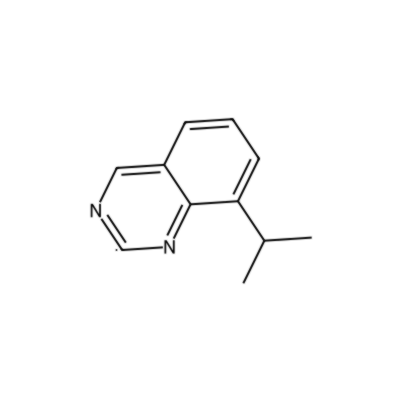 CC(C)c1cccc2cn[c]nc12